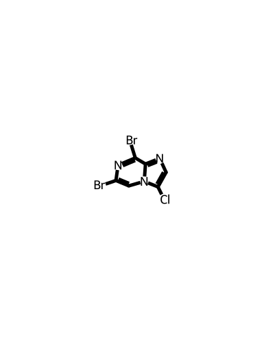 Clc1cnc2c(Br)nc(Br)cn12